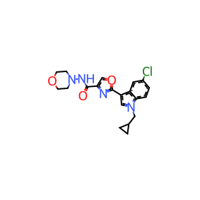 O=C(NN1CCOCC1)c1coc(-c2cn(CC3CC3)c3ccc(Cl)cc23)n1